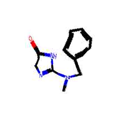 CN(Cc1ccccc1)C1=NCC(=O)N1